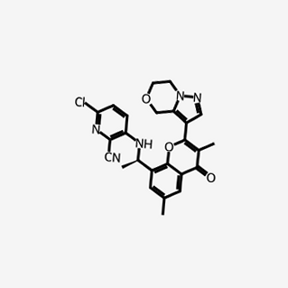 Cc1cc([C@@H](C)Nc2ccc(Cl)nc2C#N)c2oc(-c3cnn4c3COCC4)c(C)c(=O)c2c1